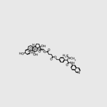 CN(C)C(C(=O)Nc1ccc2cnccc2c1)c1ccc(COC(=O)CCC(=O)OCC(=O)[C@@]2(O)CC[C@H]3[C@@H]4CCC5=CC(O)C=C[C@]5(C)[C@H]4[C@@H](O)C[C@@]32C)cc1